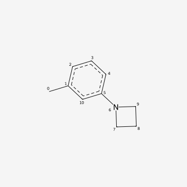 Cc1cccc(N2CCC2)c1